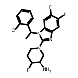 CC(c1ccccc1Cl)n1c(N2CCC(F)[C@H](N)C2)nc2cc(F)c(F)cc21